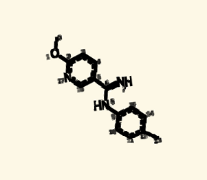 COc1ccc(C(=N)Nc2ccc(C)cc2)cn1